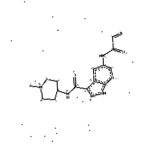 C=CC(=O)Nc1cnc2[nH]nc(C(=O)NC3CCN(C)CC3)c2c1